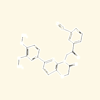 COc1ccc(-c2ccc3c(n2)N(CC(=O)c2cccc(C#N)c2)C(=O)CO3)cc1OC